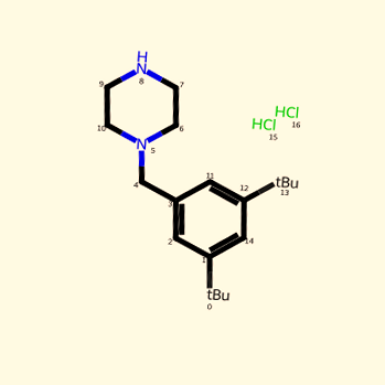 CC(C)(C)c1cc(CN2CCNCC2)cc(C(C)(C)C)c1.Cl.Cl